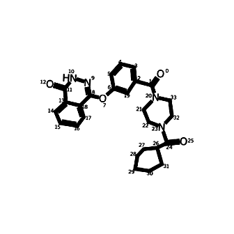 O=C(c1cccc(Oc2n[nH]c(=O)c3ccccc23)c1)N1CCN(C(=O)C2CCCCC2)CC1